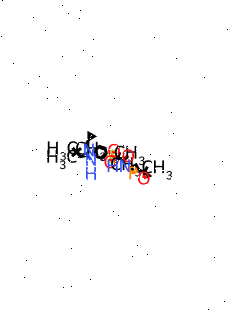 CC(C)(C)CC1Nc2cc(S(=O)(=O)C(C)(C)C(=O)NC3=PC(C4(C)CO4)=C3)ccc2N1CC1CC1